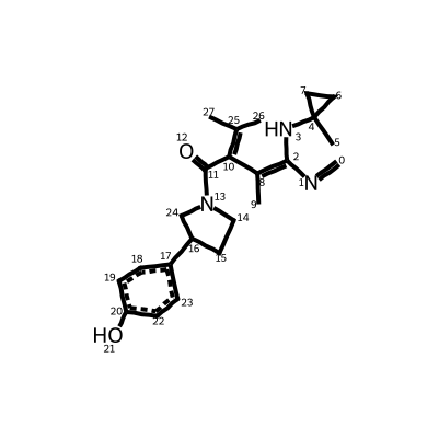 C=N/C(NC1(C)CC1)=C(\C)C(C(=O)N1CCC(c2ccc(O)cc2)C1)=C(C)C